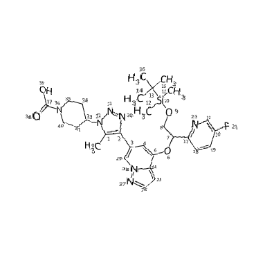 Cc1c(-c2cc(OC(CO[Si](C)(C)C(C)(C)C)c3ccc(F)cn3)c3ccnn3c2)nnn1C1CCN(C(=O)O)CC1